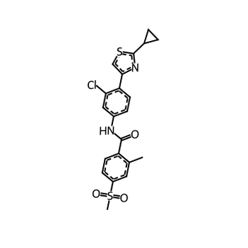 Cc1cc(S(C)(=O)=O)ccc1C(=O)Nc1ccc(-c2csc(C3CC3)n2)c(Cl)c1